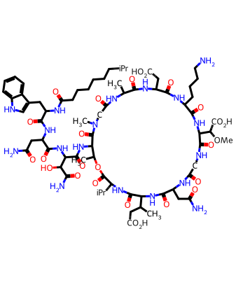 COC(C(=O)O)C1NC(=O)C(CCCCN)NC(=O)C(CC(=O)O)NC(=O)C(C)NC(=O)CN(C)C(=O)C(NC(=O)C(NC(=O)C(CC(N)=O)NC(=O)C(Cc2c[nH]c3ccccc23)NC(=O)CCCCCCC(C)C)C(O)C(N)=O)C(C)OC(=O)C(C(C)C)NC(=O)C(C(C)CC(=O)O)NC(=O)C(CC(N)=O)NC(=O)CNC1=O